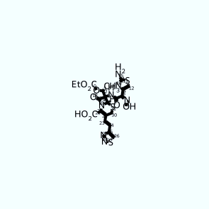 CCOC(=O)OC(C)C1(NC(=O)/C(=N\O)c2csc(N)n2)C(=O)N2C(C(=O)O)=C(/C=C/c3csnn3)CS[C@H]21